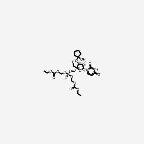 CCOC(=O)OCOP(=O)(OCOC(=O)OCC)OC[C@@]1(CF)O[C@@H](n2ccc(=O)[nH]c2=O)[C@@H](C)[C@@H]1OC1(O)CCCC1